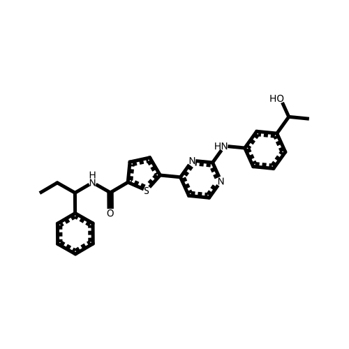 CCC(NC(=O)c1ccc(-c2ccnc(Nc3cccc(C(C)O)c3)n2)s1)c1ccccc1